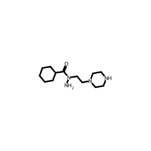 NN(CCN1CCNCC1)C(=O)C1CCCCC1